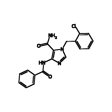 NC(=O)c1c(NC(=O)c2ccccc2)ncn1Cc1ccccc1Cl